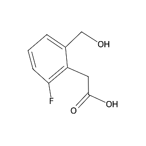 O=C(O)Cc1c(F)cccc1CO